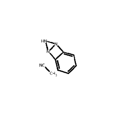 CC#N.c1ccc2c(c1)n1[nH]n21